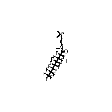 C[N+](C)(C)CCCN(F)C(=O)C(F)(F)C(F)(F)C(F)(F)C(F)(F)C(F)(F)C(F)(F)C(F)(F)F.[I-]